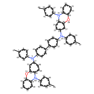 Cc1ccc(N(c2ccc(-c3ccc(N(c4ccc(C)cc4)c4ccc5c(c4)Oc4ccccc4N5c4ccc(C)cc4)cc3)cc2)c2ccc3c(c2)Oc2ccccc2N3c2ccc(C)cc2)cc1